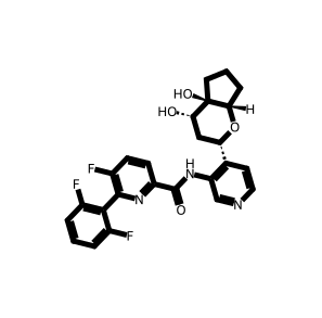 O=C(Nc1cnccc1[C@@H]1C[C@H](O)[C@]2(O)CCC[C@@H]2O1)c1ccc(F)c(-c2c(F)cccc2F)n1